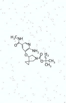 CNC(=O)c1cnc(N)c(OC2CN(C(=O)OC(C)(C)C)CC23CC3)c1